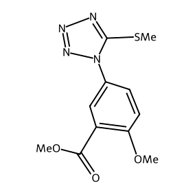 COC(=O)c1cc(-n2nnnc2SC)ccc1OC